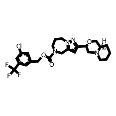 O=C(OCc1cc(Cl)cc(C(F)(F)F)c1)N1CCCn2nc(C3CN4CCCC[C@@H]4CO3)cc2C1